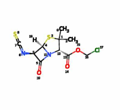 CC1(C)S[C@@H]2[C@H](N=C=S)C(=O)N2[C@H]1C(=O)OCCl